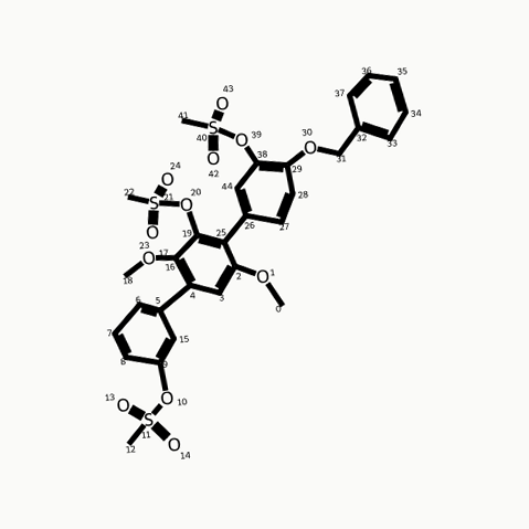 COc1cc(-c2cccc(OS(C)(=O)=O)c2)c(OC)c(OS(C)(=O)=O)c1-c1ccc(OCc2ccccc2)c(OS(C)(=O)=O)c1